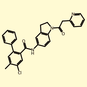 Cc1cc(-c2ccccc2)c(C(=O)Nc2ccc3c(c2)CCN3C(=O)Cc2ccccn2)cc1Cl